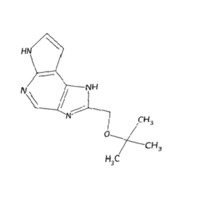 CC(C)(C)OCc1nc2cnc3[nH]ccc3c2[nH]1